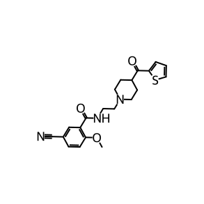 COc1ccc(C#N)cc1C(=O)NCCN1CCC(C(=O)c2cccs2)CC1